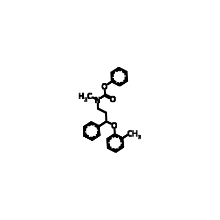 Cc1ccccc1OC(CCN(C)C(=O)Oc1ccccc1)c1ccccc1